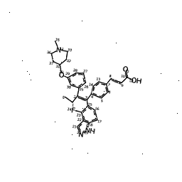 CCC(=C(c1ccc(C=CC(=O)O)cc1)c1ccc2[nH]ncc2c1F)c1cccc(OC2CCN(C)CC2)c1